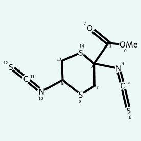 COC(=O)C1(N=C=S)CSC(N=C=S)CS1